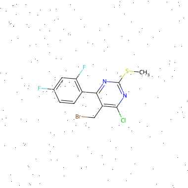 CSc1nc(Cl)c(CBr)c(-c2ccc(F)cc2F)n1